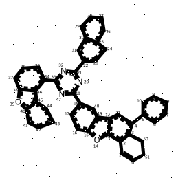 C1=Cc2c(c(-c3ccccc3)cc3c2oc2ccc(-c4nc(-c5ccc6ccccc6c5)nc(-c5cccc6oc7ccccc7c56)n4)cc23)CC1